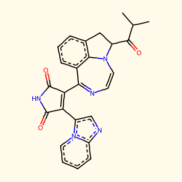 CC(C)C(=O)C1Cc2cccc3c2N1C=CN=C3C1=C(c2cnc3ccccn23)C(=O)NC1=O